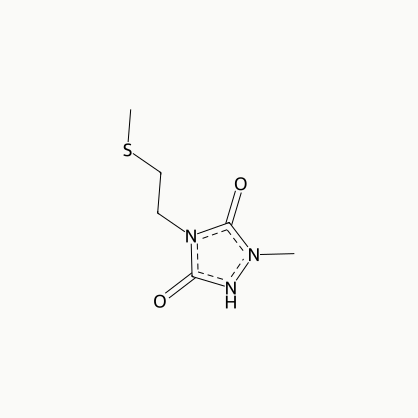 CSCCn1c(=O)[nH]n(C)c1=O